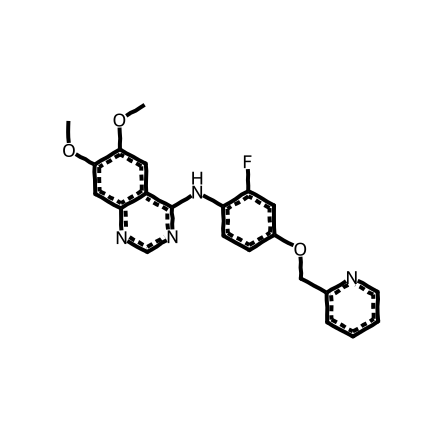 COc1cc2ncnc(Nc3ccc(OCc4ccccn4)cc3F)c2cc1OC